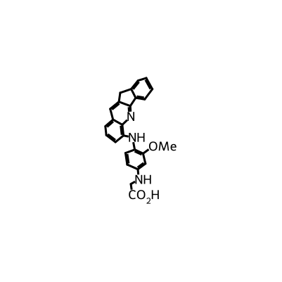 COc1cc(NCC(=O)O)ccc1Nc1cccc2cc3c(nc12)-c1ccccc1C3